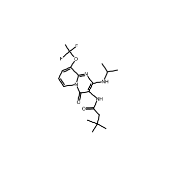 CC(C)Nc1nc2c(OC(C)(F)F)cccn2c(=O)c1NC(=O)CC(C)(C)C